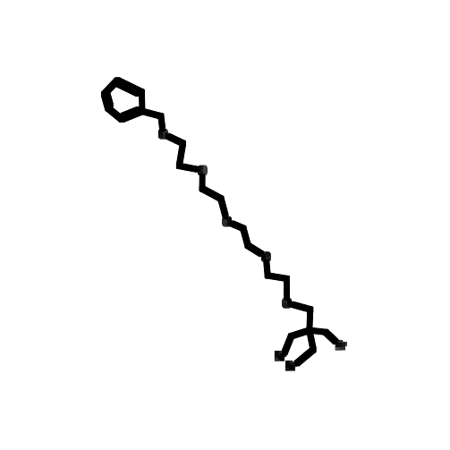 BrCC(CBr)(CBr)COCCOCCOCCOCCOCc1ccccc1